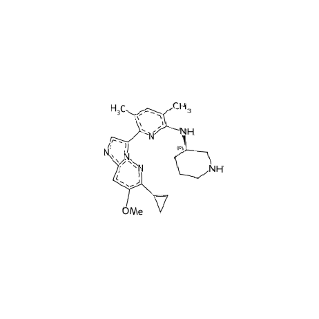 COc1cc2ncc(-c3nc(N[C@@H]4CCCNC4)c(C)cc3C)n2nc1C1CC1